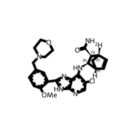 COc1ccc(CN2CCOCC2)cc1-c1nc2c(N[C@H]3[C@@H](C(N)=O)[C@@H]4C=C[C@H]3C4)c(Cl)cnc2[nH]1